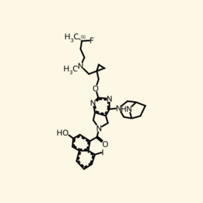 C[C@H](F)CCN(C)CC1(COc2nc3c(c(N4CC5CCC(C4)N5)n2)CN(C(=O)c2cc(O)cc4cccc(I)c24)C3)CC1